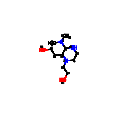 CN(C)C1NCCN(CCO)C1CCO